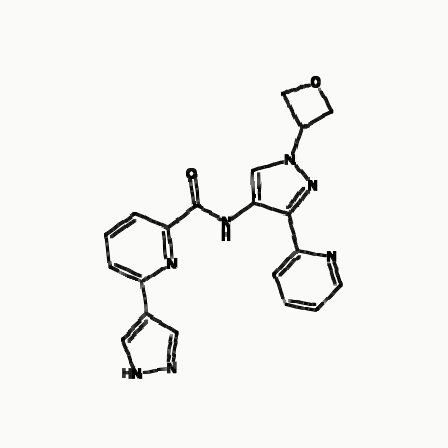 O=C(Nc1cn(C2COC2)nc1-c1ccccn1)c1cccc(-c2cn[nH]c2)n1